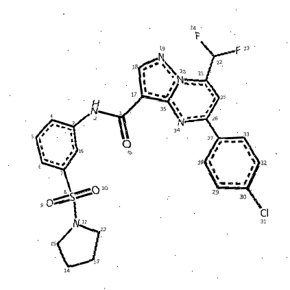 O=C(Nc1cccc(S(=O)(=O)N2CCCC2)c1)c1cnn2c(C(F)F)cc(-c3ccc(Cl)cc3)nc12